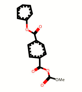 COC(=O)OC(=O)c1ccc(C(=O)Oc2ccccc2)cc1